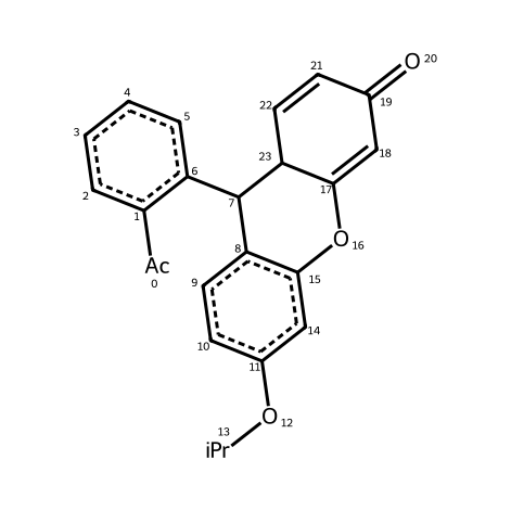 CC(=O)c1ccccc1C1c2ccc(OC(C)C)cc2OC2=CC(=O)C=CC21